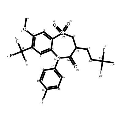 COc1cc2c(cc1C(F)(F)F)N(c1ccc(F)cc1)C(=O)C(CCC(C)(F)F)CS2(=O)=O